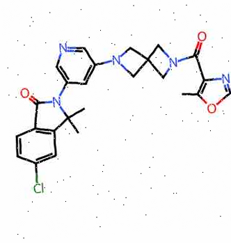 Cc1ocnc1C(=O)N1CC2(C1)CN(c1cncc(N3C(=O)c4ccc(Cl)cc4C3(C)C)c1)C2